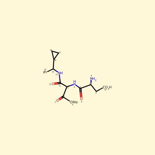 COC(=O)C(NC(=O)[C@@H](N)CC(=O)O)C(=O)NC(C(C)C)C1CC1